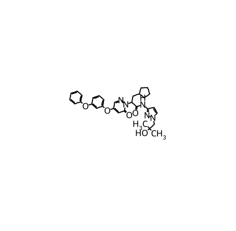 CC(C)(O)Cn1ccc(NC(=O)C(CC2CCCC2)n2ncc(Oc3cccc(Oc4ccccc4)c3)cc2=O)n1